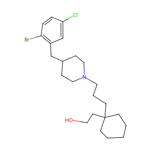 OCCC1(CCCN2CCC(Cc3cc(Cl)ccc3Br)CC2)CCCCC1